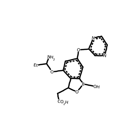 CCC(N)Oc1cc(Oc2cnccn2)cc2c1C(CC(=O)O)OB2O